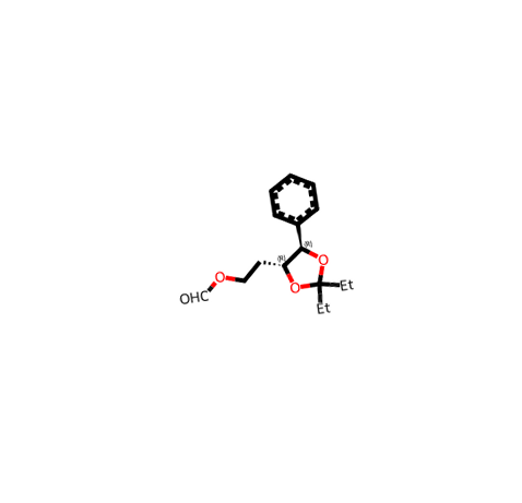 CCC1(CC)O[C@H](c2ccccc2)[C@@H](CCOC=O)O1